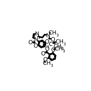 COc1cccc(OC)c1C(=O)Oc1ccc([N+]2(C(=O)[O-])C=CN=C2CCN(C)C(=O)OC(C)(C)C)cc1